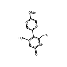 COc1ccc(-c2c(N)cc(=O)[nH]c2C)cc1